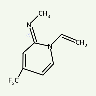 C=Cn1ccc(C(F)(F)F)c/c1=N/C